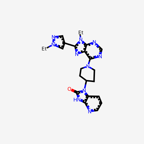 CCn1cc(-c2nc3c(N4CCC(n5c(=O)[nH]c6ncccc65)CC4)ncnc3n2CC)cn1